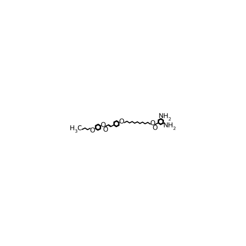 CCCCCOc1ccc(OC(=O)/C=C/c2ccc(OCCCCCCCCCCCOC(=O)c3cc(N)cc(N)c3)cc2)cc1